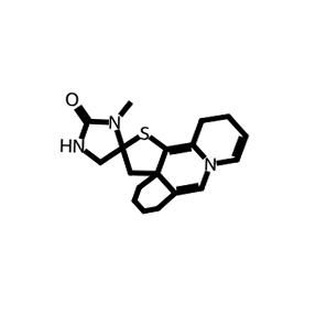 CN1C(=O)NCC12CC13CCCCC1=CN1C=CCCC1=C3S2